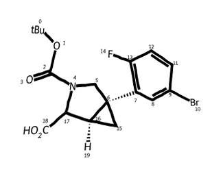 CC(C)(C)OC(=O)N1C[C@@]2(c3cc(Br)ccc3F)C[C@H]2C1C(=O)O